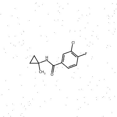 CC1(NC(=O)c2ccc(F)c(Cl)c2)CC1